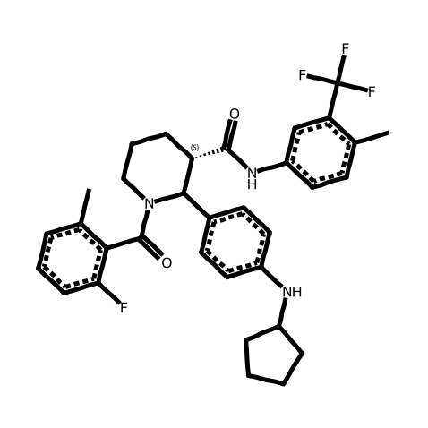 Cc1ccc(NC(=O)[C@H]2CCCN(C(=O)c3c(C)cccc3F)C2c2ccc(NC3CCCC3)cc2)cc1C(F)(F)F